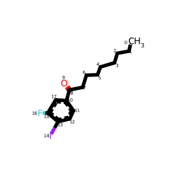 CCCCCCCCC(=O)c1ccc(I)c(F)c1